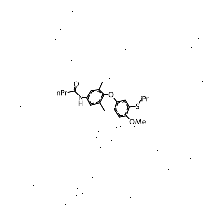 CCCC(=O)Nc1cc(C)c(Oc2ccc(OC)c(SC(C)C)c2)c(C)c1